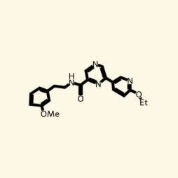 CCOc1ccc(-c2cncc(C(=O)NCCc3cccc(OC)c3)n2)cn1